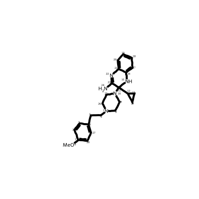 COc1ccc(CCN2CCN(C3(C4CC4)Nc4ccccc4N=C3N)CC2)cc1